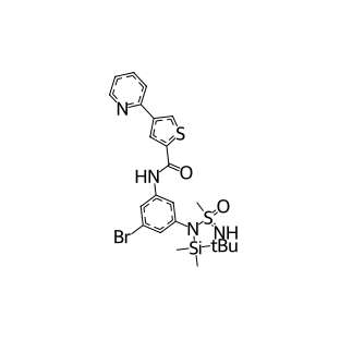 CC(C)(C)[Si](C)(C)N(c1cc(Br)cc(NC(=O)c2cc(-c3ccccn3)cs2)c1)S(C)(=N)=O